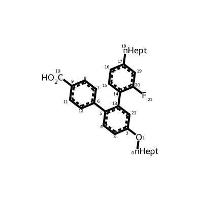 CCCCCCCOc1ccc(-c2ccc(C(=O)O)cc2)c(-c2ccc(CCCCCCC)cc2F)c1